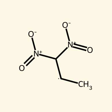 C[CH]C([N+](=O)[O-])[N+](=O)[O-]